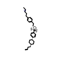 C=CCC[C@H]1CC[C@H](c2ccc(C(F)(F)OCCc3ccc(CC/C=C/C)cc3)cc2)CC1